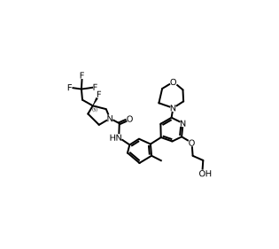 Cc1ccc(NC(=O)N2CC[C@](F)(CC(F)(F)F)C2)cc1-c1cc(OCCO)nc(N2CCOCC2)c1